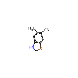 Cc1cc2c(cc1C#N)SCN2